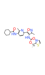 Cc1nc(-c2onc(C)c2NC(=O)O[C@@H](C)c2nccs2)ccc1NC(=O)C1CCCCC1